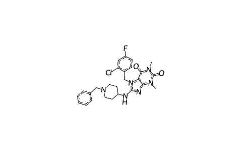 Cn1c(=O)c2c(nc(NC3CCN(Cc4ccccc4)CC3)n2Cc2ccc(F)cc2Cl)n(C)c1=O